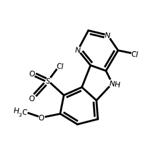 COc1ccc2[nH]c3c(Cl)ncnc3c2c1S(=O)(=O)Cl